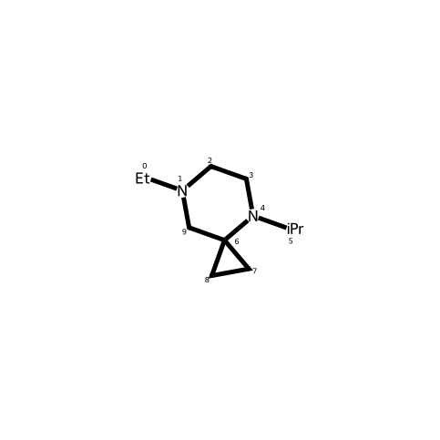 CCN1CCN(C(C)C)C2(CC2)C1